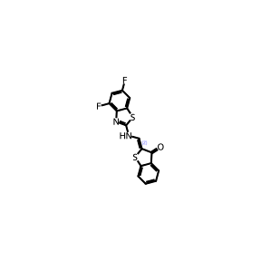 O=C1/C(=C/Nc2nc3c(F)cc(F)cc3s2)Sc2ccccc21